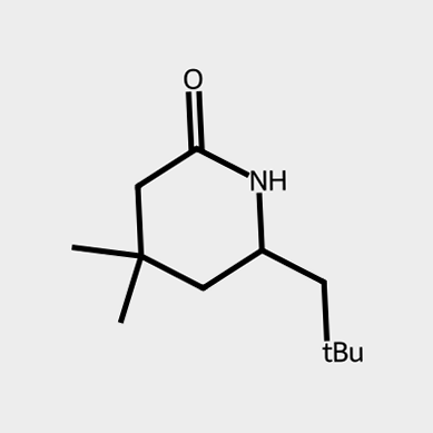 CC(C)(C)CC1CC(C)(C)CC(=O)N1